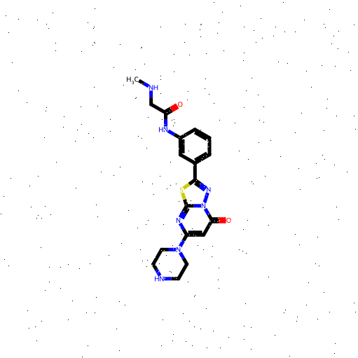 CNCC(=O)Nc1cccc(-c2nn3c(=O)cc(N4CCNCC4)nc3s2)c1